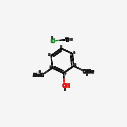 COc1cccc(OC)c1O.[Cl][Ti]